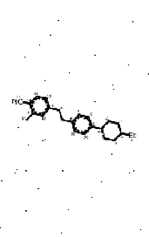 CCC1CCC(c2ccc(CCc3ccc(C#N)c(C)c3)cc2)CC1